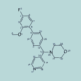 COc1cc(F)ccc1-c1ccc(C(c2ccncc2)N2CCOCC2)cc1